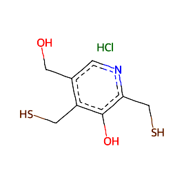 Cl.OCc1cnc(CS)c(O)c1CS